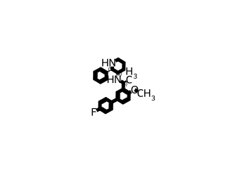 COc1ccc(-c2ccc(F)cc2)cc1[C@H](C)N[C@H]1CCCN[C@H]1c1ccccc1